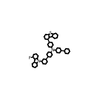 Fc1cccc2c1c1ccccc1n2-c1cccc(-c2ccc(N(c3ccc(-c4ccccc4)cc3)c3ccc(-c4cccc5sc6ccccc6c45)cc3)cc2)c1